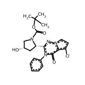 CC(C)(C)OC(=O)N1C[C@@H](O)C[C@H]1c1nn2ccc(Cl)c2c(=O)n1-c1ccccc1